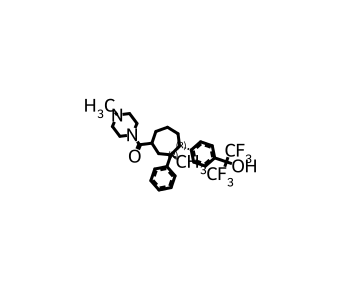 CN1CCN(C(=O)C2CCC[C@H](c3ccc(C(O)(C(F)(F)F)C(F)(F)F)cc3)[C@](C)(c3ccccc3)C2)CC1